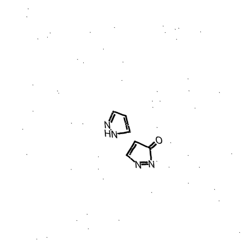 O=C1C=CN=N1.c1cn[nH]c1